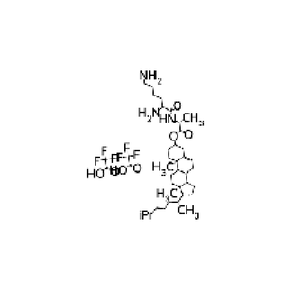 CC(C)CCC[C@@H](C)[C@H]1CCC2C3CC=C4CC(OC(=O)[C@@H](C)NC(=O)C(N)CCCCN)CC[C@]4(C)C3CC[C@@]21C.O=C(O)C(F)(F)F.O=C(O)C(F)(F)F